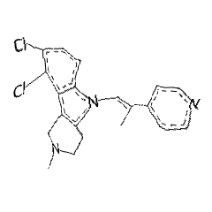 CC(=Cn1c2c(c3c(Cl)c(Cl)ccc31)CN(C)CC2)c1ccncc1